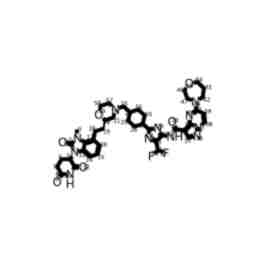 Cn1c(=O)n(C2CCC(=O)NC2=O)c2cccc(CC[C@@H]3CN(CC4CCC(C5N=C(NC(=O)c6cnn7ccc(N8CCCOCC8)nc67)C(C(F)F)=N5)CC4)CCO3)c21